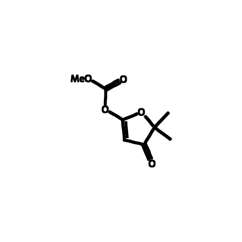 COC(=O)OC1=CC(=O)C(C)(C)O1